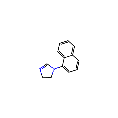 C1=NCCN1c1cccc2ccccc12